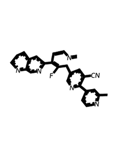 C=N/C=C\C(=C(\F)Cc1cnc(-c2ccnc(C)c2)c(C#N)c1)c1cc2cccnc2cn1